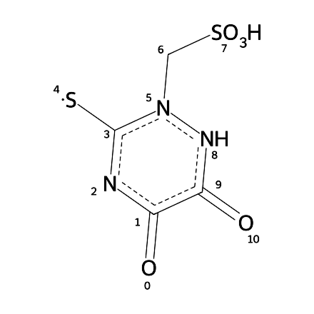 O=c1nc([S])n(CS(=O)(=O)O)[nH]c1=O